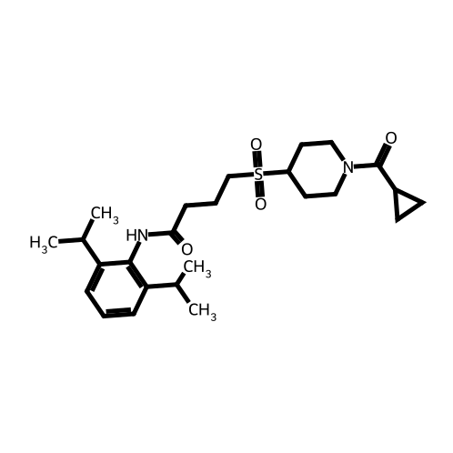 CC(C)c1cccc(C(C)C)c1NC(=O)CCCS(=O)(=O)C1CCN(C(=O)C2CC2)CC1